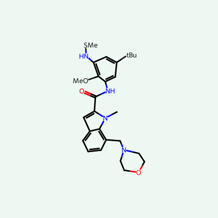 COc1c(NSC)cc(C(C)(C)C)cc1NC(=O)c1cc2cccc(CN3CCOCC3)c2n1C